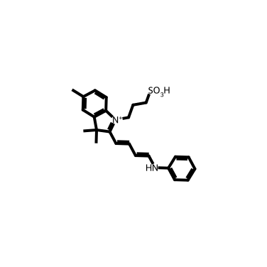 Cc1ccc2c(c1)C(C)(C)C(/C=C/C=C/Nc1ccccc1)=[N+]2CCCS(=O)(=O)O